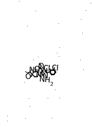 COC(=O)c1nc(-c2cccc(Cl)c2Cl)nc(N)c1N1CCC2(CC1)CO[C@@H](C)[C@H]2N